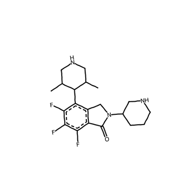 CC1CNCC(C)C1c1c(F)c(F)c(F)c2c1CN(C1CCCNC1)C2=O